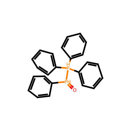 O=[PH](c1ccccc1)[PH](c1ccccc1)(c1ccccc1)c1ccccc1